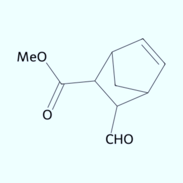 COC(=O)C1C2C=CC(C2)C1C=O